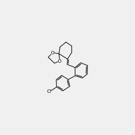 Clc1ccc(-c2ccccc2C=C2CCCCC23OCCO3)cc1